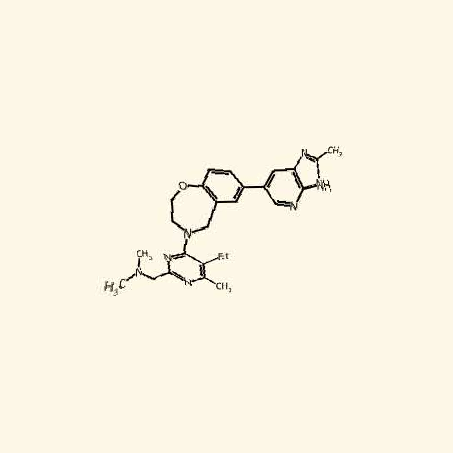 CCc1c(C)nc(CN(C)C)nc1N1CCOc2ccc(-c3cnc4[nH]c(C)nc4c3)cc2C1